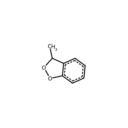 CC1OOc2ccccc21